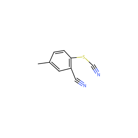 Cc1ccc(SC#N)c(C#N)c1